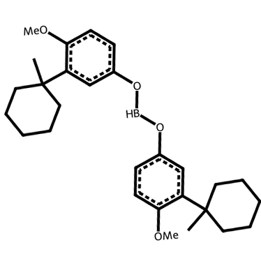 COc1ccc(OBOc2ccc(OC)c(C3(C)CCCCC3)c2)cc1C1(C)CCCCC1